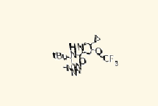 Cn1nnnc1C(NC(=O)c1cc(OCC(F)(F)F)c(C2CC2)cn1)C(C)(C)C